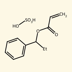 C=CC(=O)OC(CC)c1ccccc1.O=S(=O)(O)O